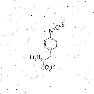 NC(Cc1ccc(N=C=S)cc1)C(=O)O